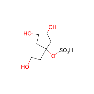 O=S(=O)(O)OC(CCO)(CCO)CCO